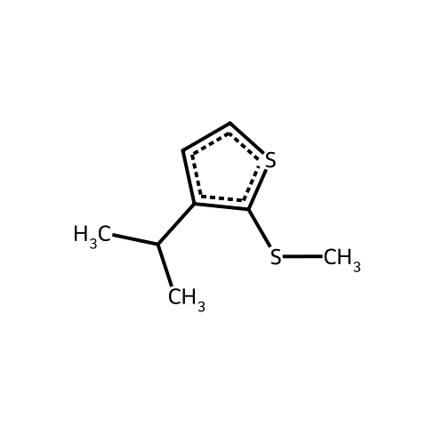 CSc1sccc1C(C)C